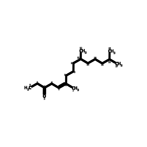 CCC(=O)CC=C(C)CCCC(C)CCCC(C)C